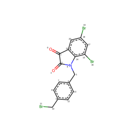 O=C1C(=O)N(Cc2ccc(CBr)cc2)c2c(Br)cc(Br)cc21